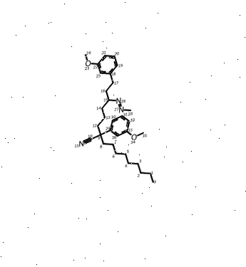 CCCCCCCCCC(C#N)(CCCC(CCc1cccc(OC)c1)N=NC)c1cccc(OC)c1